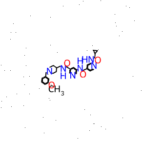 COc1cccc(CN2CCC(CNC(=O)c3cncc(NC(=O)c4ccnc(NC(=O)C5CC5)c4)c3)CC2)c1